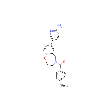 CCCCCc1ccc(C(=O)N2CCOc3ccc(-c4ccc(N)nc4)cc3C2)cc1